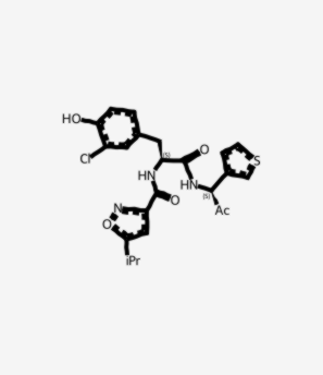 CC(=O)[C@@H](NC(=O)[C@H](Cc1ccc(O)c(Cl)c1)NC(=O)c1cc(C(C)C)on1)c1ccsc1